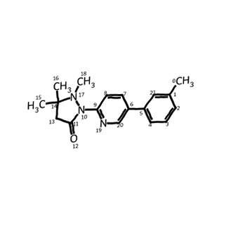 Cc1cccc(-c2ccc(N3C(=O)CC(C)(C)N3C)nc2)c1